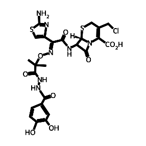 CC(C)(ON=C(C(=O)NC1C(=O)N2C(C(=O)O)=C(CCl)CS[C@@H]12)c1csc(N)n1)C(=O)NNC(=O)c1ccc(O)c(O)c1